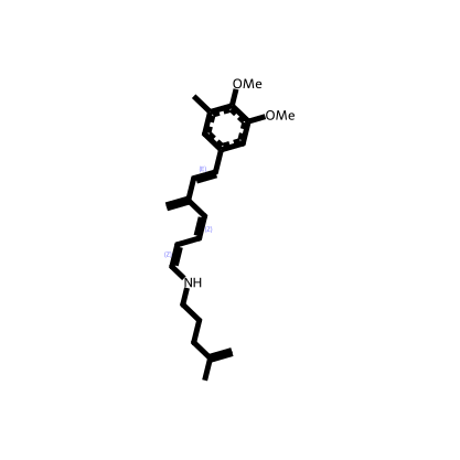 C=C(/C=C\C=C/NCCCC(=C)C)/C=C/c1cc(C)c(OC)c(OC)c1